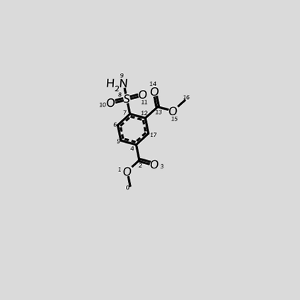 COC(=O)c1ccc(S(N)(=O)=O)c(C(=O)OC)c1